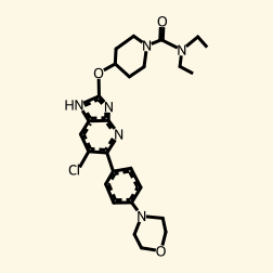 CCN(CC)C(=O)N1CCC(Oc2nc3nc(-c4ccc(N5CCOCC5)cc4)c(Cl)cc3[nH]2)CC1